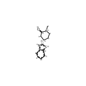 CN1CC[C@H](c2nc3ccccc3s2)CC1=O